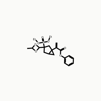 C=C(C(=O)Oc1ccccc1)C12CC1CC(C1OC(C)O1)(P(=O)(OCC)OCC)C2